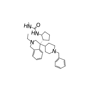 CCN1Cc2ccccc2C(C2CCN(Cc3ccccc3)CC2)([C@H]2CCCC2NC(=O)NC)C1